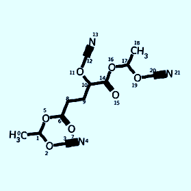 CC(OC#N)OC(=O)CCC(OC#N)C(=O)OC(C)OC#N